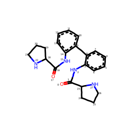 O=C(Nc1ccccc1-c1ccccc1NC(=O)C1CCCN1)C1CCCN1